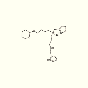 CCCC[N+](CCCCOC1CCCCO1)(CCCNCc1ccc[nH]1)Cc1ccc[nH]1